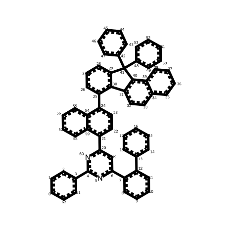 c1ccc(-c2nc(-c3ccccc3-c3ccccc3)cc(-c3ccc(-c4cccc5c4-c4ccc6ccccc6c4C5(c4ccccc4)c4ccccc4)c4ccccc34)n2)cc1